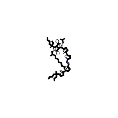 CCCCCCCCC(C)CN1C(=O)C2=C(c3ccc(-c4ccc(/C=C/c5ccc(-c6ccc(C(C)(CCC)CCCC)s6)s5)s4)s3)N(CC(C)C)C(=O)C2=C1C(C)(CC)CCCC